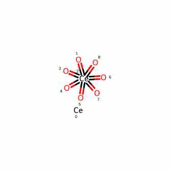 [Ce].[O]=[Ce](=[O])(=[O])(=[O])(=[O])(=[O])=[O]